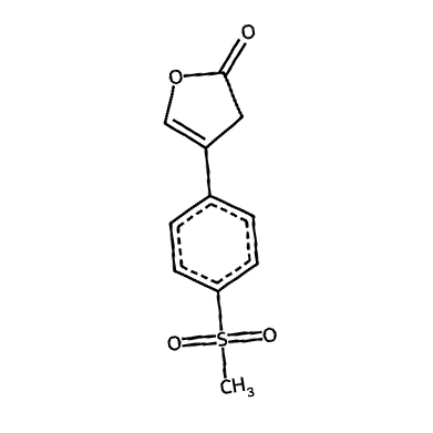 CS(=O)(=O)c1ccc(C2=COC(=O)C2)cc1